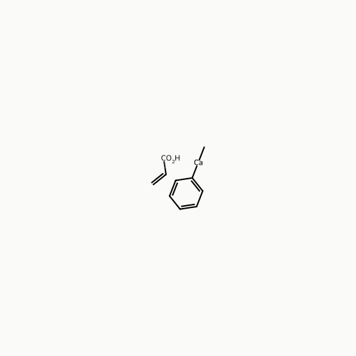 C=CC(=O)O.[CH3][Ca][c]1ccccc1